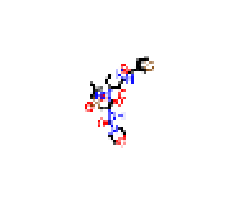 CC[C@H](NC(=O)[C@H](CS(=O)(=O)CC(C)C)NC(=O)N1CCOCC1)C(=O)c1noc(-c2ccsc2)n1